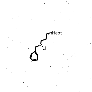 CCCCCCCCCCP(Cl)Cc1ccccc1